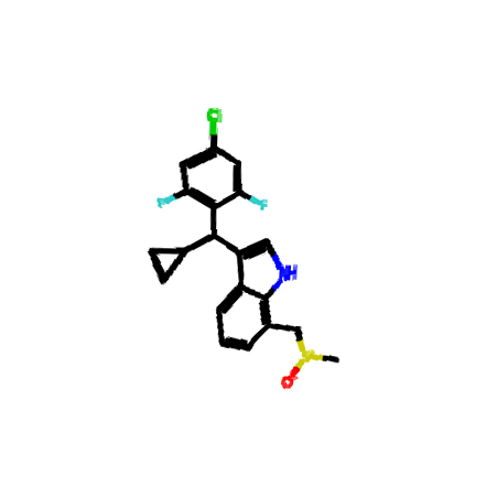 C[S+]([O-])Cc1cccc2c(C(c3c(F)cc(Cl)cc3F)C3CC3)c[nH]c12